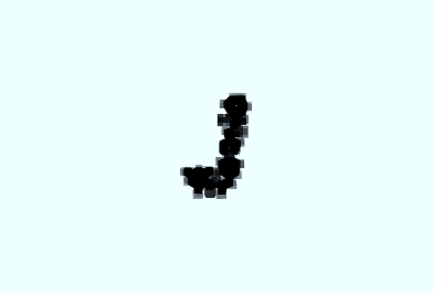 Cc1cc(C)c(C(=O)NC(C)Cc2ccc(N3CCC(CNc4nc5ccccc5[nH]4)CC3)cc2)c(C)c1